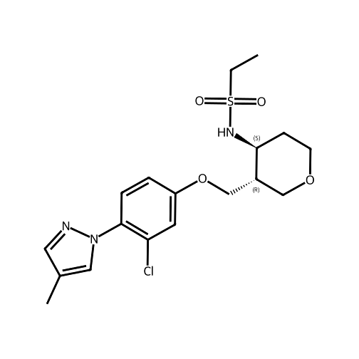 CCS(=O)(=O)N[C@H]1CCOC[C@@H]1COc1ccc(-n2cc(C)cn2)c(Cl)c1